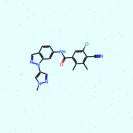 Cc1c(C(=O)Nc2ccc3cnn(-c4cnn(C)c4)c3c2)cc(Cl)c(C#N)c1C